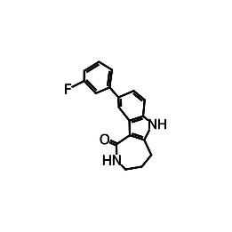 O=C1NCCCc2[nH]c3ccc(-c4cccc(F)c4)cc3c21